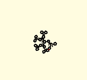 c1ccc(-c2cc(-c3cccc(-c4cc(-n5c6ccc(-n7c8ccccc8c8ccccc87)cc6c6cc(-n7c8ccccc8c8ccccc87)ccc65)nc(-n5c6ccc(-n7c8ccccc8c8ccccc87)cc6c6cc(-n7c8ccccc8c8ccccc87)ccc65)c4)c3)nc(-c3ccccc3)n2)cc1